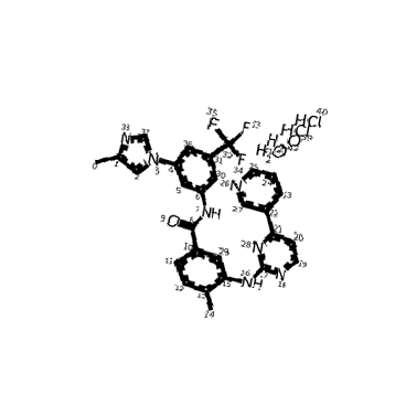 Cc1cn(-c2cc(NC(=O)c3ccc(C)c(Nc4nccc(-c5cccnc5)n4)c3)cc(C(F)(F)F)c2)cn1.Cl.Cl.O.O